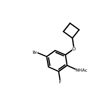 CC(=O)Nc1c(F)cc(Br)cc1OC1CCC1